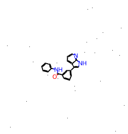 O=C(Nc1ccccc1)c1cccc(-c2c[nH]c3ncccc23)c1